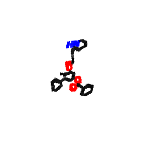 O=C(Oc1cc(OCCC2CCCCN2)[c]c(-c2ccccc2)c1)c1ccccc1